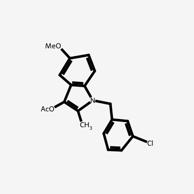 COc1ccc2c(c1)c(OC(C)=O)c(C)n2Cc1cccc(Cl)c1